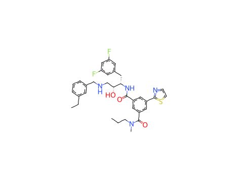 CCCN(C)C(=O)c1cc(C(=O)N[C@@H](Cc2cc(F)cc(F)c2)[C@H](O)CNCc2cccc(CC)c2)cc(-c2nccs2)c1